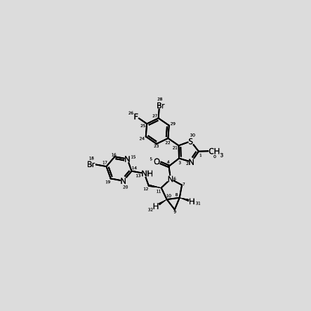 Cc1nc(C(=O)N2C[C@@H]3C[C@@H]3[C@H]2CNc2ncc(Br)cn2)c(-c2ccc(F)c(Br)c2)s1